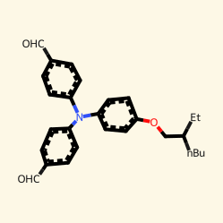 CCCCC(CC)COc1ccc(N(c2ccc(C=O)cc2)c2ccc(C=O)cc2)cc1